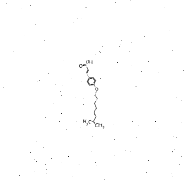 CC(C)CCCCCCOc1ccc(C=CC(=O)O)cc1